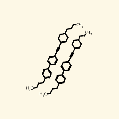 CCCCc1ccc(-c2ccc(C#CC3=CCC(CCC)CC3)cc2)cc1.CCCCc1ccc(-c2ccc(C#CC3=CCC(CCCC)CC3)cc2)cc1